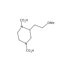 COCCC1CN(C(=O)O)CCN1C(=O)O